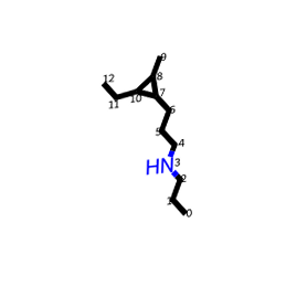 CCCNCCCC1C(C)C1CC